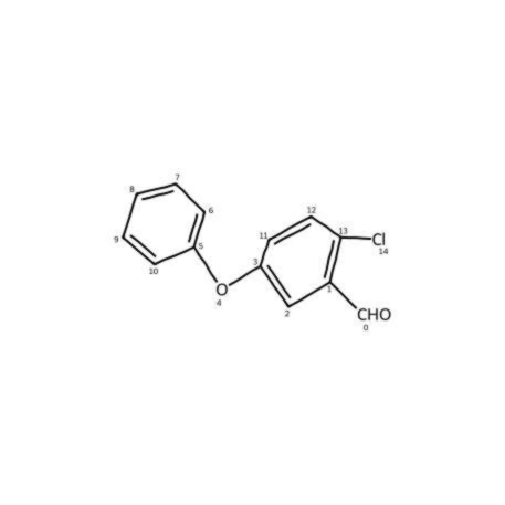 O=Cc1cc(Oc2ccccc2)ccc1Cl